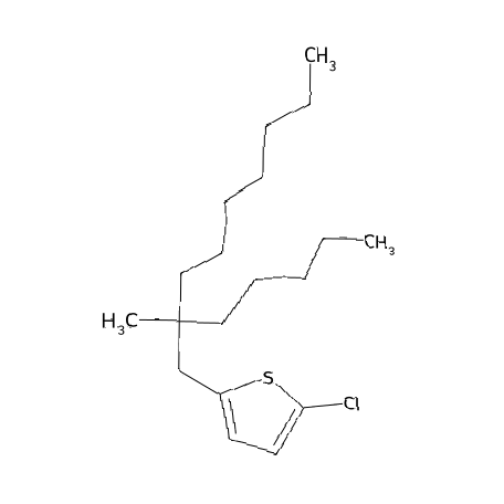 CCCCCCCC(C)(CCCCC)Cc1ccc(Cl)s1